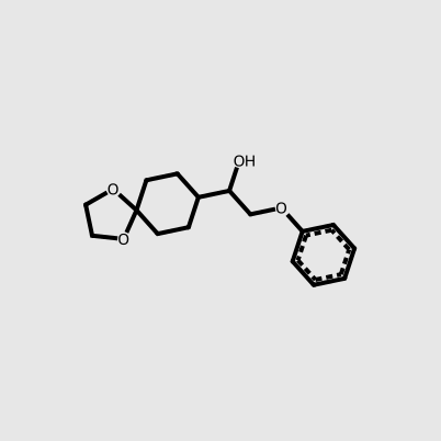 OC(COc1ccccc1)C1CCC2(CC1)OCCO2